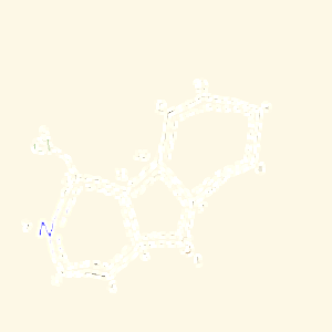 Clc1nccc2sc3ccccc3c12